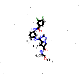 COC[C@H](C)NC(=O)C1CN2N=CN=C(Nc3cc(NC(=O)c4ccc(F)c(F)c4)ccc3C)C2=C1C